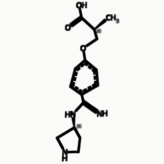 C[C@@H](COc1ccc(C(=N)N[C@H]2CCNC2)cc1)C(=O)O